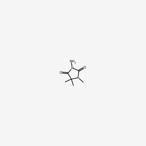 CN1C(=O)N(N)C(=O)C1(C)C